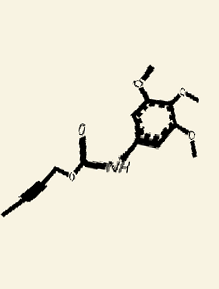 CC#CCOC(=O)Nc1cc(OC)c(OC)c(OC)c1